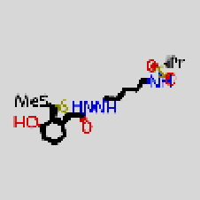 CSc1sc(C(=O)NNCCCCCNS(=O)(=O)C(C)C)c2c1C(O)CCC2